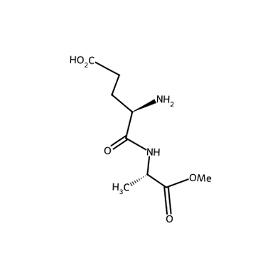 COC(=O)[C@H](C)NC(=O)[C@H](N)CCC(=O)O